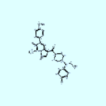 COc1ccc(-c2nc3c(C(=O)N4CCN([C@@H](CO)c5ccc(Cl)nc5)CC4)cnn3c(C(F)(F)F)c2C)cc1